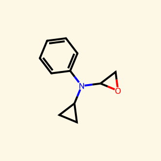 c1ccc(N(C2CC2)C2CO2)cc1